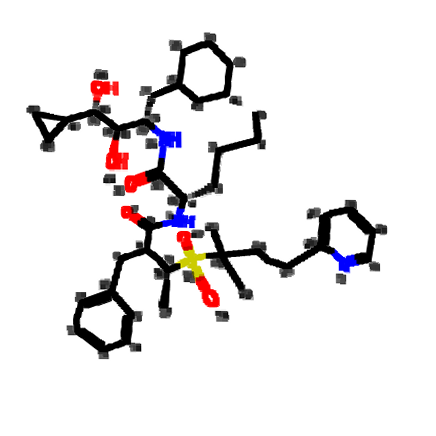 CCCC[C@H](NC(=O)C(Cc1ccccc1)[C@H](C)S(=O)(=O)C(C)(C)CCc1ccccn1)C(=O)N[C@@H](CC1CCCCC1)[C@@H](O)[C@@H](O)C1CC1